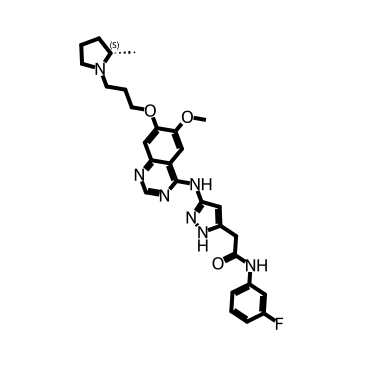 [CH2][C@H]1CCCN1CCCOc1cc2ncnc(Nc3cc(CC(=O)Nc4cccc(F)c4)[nH]n3)c2cc1OC